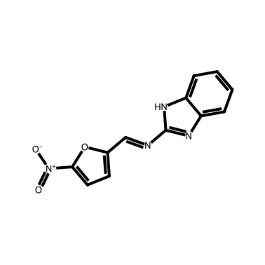 O=[N+]([O-])c1ccc(C=Nc2nc3ccccc3[nH]2)o1